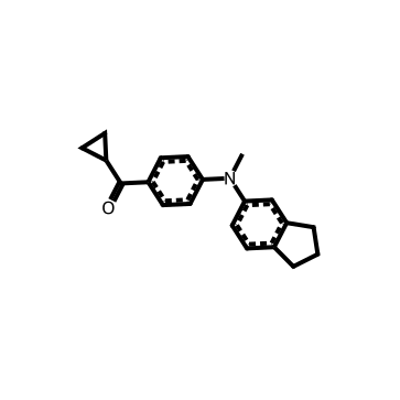 CN(c1ccc(C(=O)C2CC2)cc1)c1ccc2c(c1)CCC2